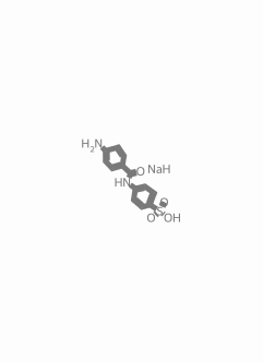 Nc1ccc(C(=O)Nc2ccc(S(=O)(=O)O)cc2)cc1.[NaH]